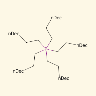 CCCCCCCCCCCCP(CCCCCCCCCCCC)(CCCCCCCCCCCC)(CCCCCCCCCCCC)CCCCCCCCCCCC